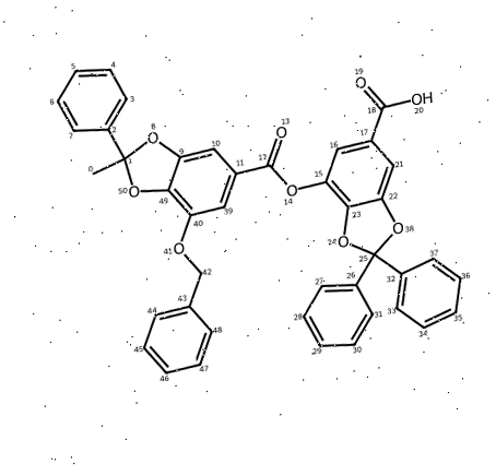 CC1(c2ccccc2)Oc2cc(C(=O)Oc3cc(C(=O)O)cc4c3OC(c3ccccc3)(c3ccccc3)O4)cc(OCc3ccccc3)c2O1